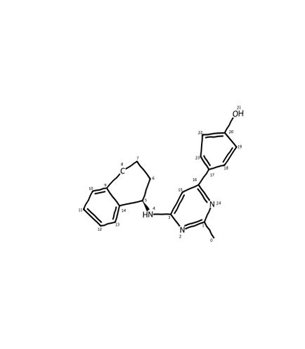 Cc1nc(N[C@@H]2CCCc3ccccc32)cc(-c2ccc(O)cc2)n1